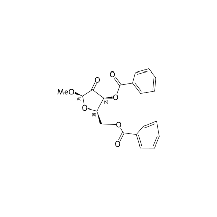 CO[C@@H]1O[C@H](COC(=O)c2ccccc2)[C@H](OC(=O)c2ccccc2)C1=O